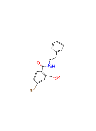 O=C(NCCc1ccccc1)c1ccc(Br)cc1CO